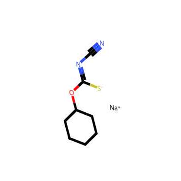 N#CN=C([S-])OC1CCCCC1.[Na+]